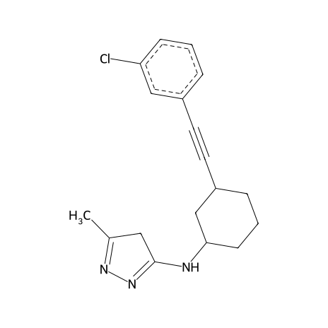 CC1=NN=C(NC2CCCC(C#Cc3cccc(Cl)c3)C2)C1